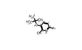 CC(C)(C)Oc1ccc(F)nc1Cl